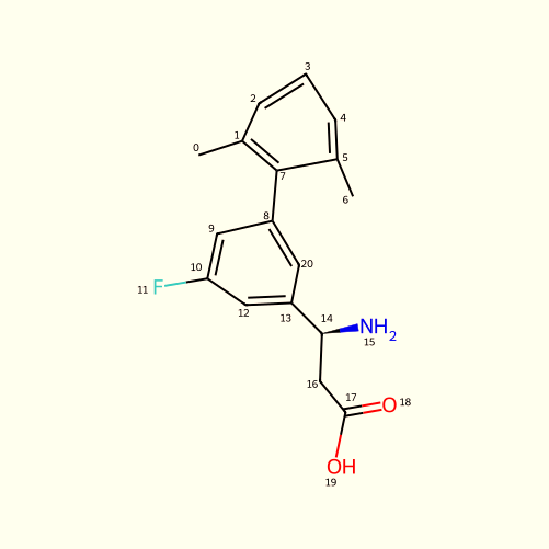 Cc1cccc(C)c1-c1cc(F)cc([C@@H](N)CC(=O)O)c1